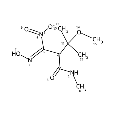 CNC(=O)C(/C(=N/O)[N+](=O)[O-])C(C)(C)OC